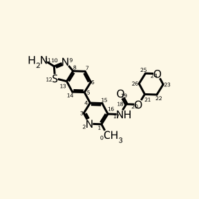 Cc1ncc(-c2ccc3nc(N)sc3c2)cc1NC(=O)OC1CCOCC1